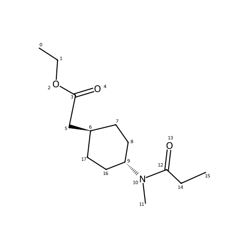 CCOC(=O)C[C@H]1CC[C@H](N(C)C(=O)CC)CC1